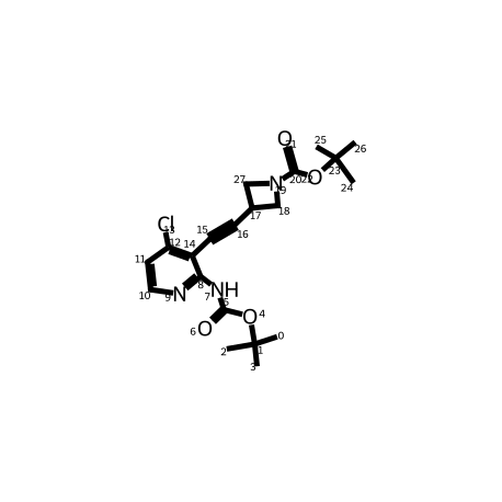 CC(C)(C)OC(=O)Nc1nccc(Cl)c1C#CC1CN(C(=O)OC(C)(C)C)C1